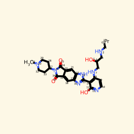 CC(C)CNCC(O)CNc1ccnc(O)c1-c1nc2cc3c(cc2[nH]1)C(=O)N(C1CCN(C)CC1)C3=O